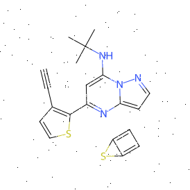 C#Cc1ccsc1-c1cc(NC(C)(C)C)n2nccc2n1.c1cc2sc1-2